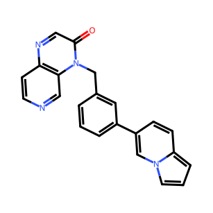 O=c1cnc2ccncc2n1Cc1cccc(-c2ccc3cccn3c2)c1